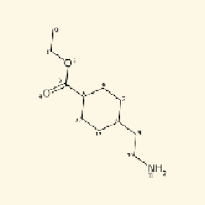 CCOC(=O)C1CCC(CCN)CC1